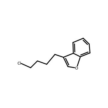 ClCCCCc1coc2ccccc12